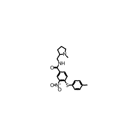 Cc1ccc(Sc2ccc(C(=O)NCC3CCCN3C)cc2[N+](=O)[O-])cc1